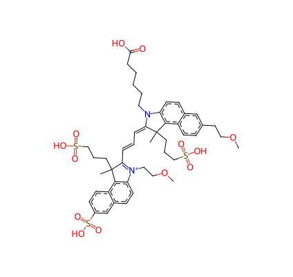 COCCc1ccc2c3c(ccc2c1)N(CCCCCC(=O)O)/C(=C/C=C/C1=[N+](CCOC)c2ccc4cc(S(=O)(=O)O)ccc4c2C1(C)CCCS(=O)(=O)O)C3(C)CCCS(=O)(=O)O